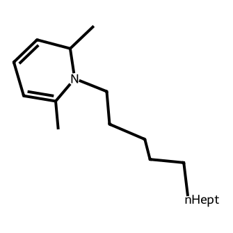 CCCCCCCCCCCCN1C(C)=CC=CC1C